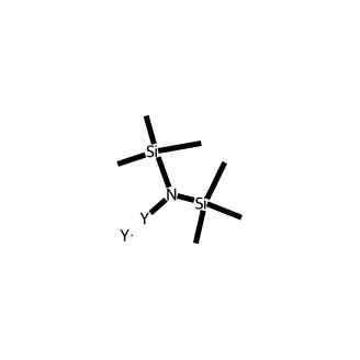 C[Si](C)(C)[N]([Y])[Si](C)(C)C.[Y]